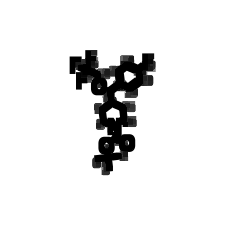 CC(C)(C)OC(=O)N1CCC([C@H](OCC(F)(F)F)c2ccc(F)cc2)CC1